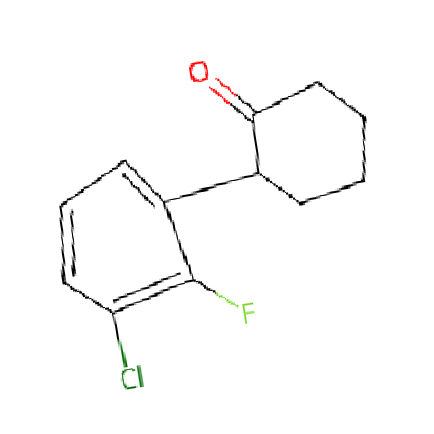 O=C1CCCCC1c1cccc(Cl)c1F